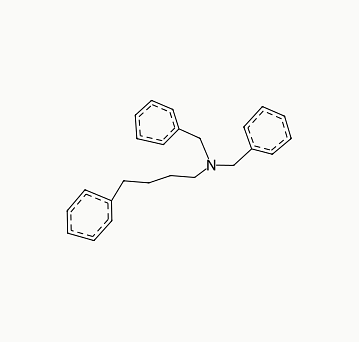 c1ccc(CCCCN(Cc2ccccc2)Cc2ccccc2)cc1